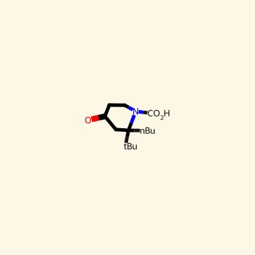 CCCCC1(C(C)(C)C)CC(=O)CCN1C(=O)O